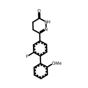 COc1ccccc1-c1ccc(C2=NNC(=O)CC2)cc1F